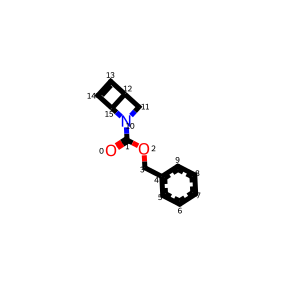 O=C(OCc1ccccc1)N1CC2C=CC21